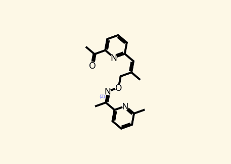 CC(=O)c1cccc(C=C(C)CO/N=C(/C)c2cccc(C)n2)n1